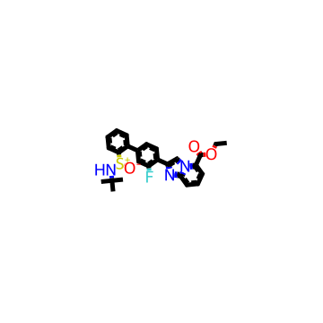 CCOC(=O)c1cccc2nc(-c3ccc(-c4ccccc4[S+]([O-])NC(C)(C)C)cc3F)cn12